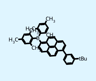 Cc1cc(C)c(B(c2c(C)cc(C)cc2C)c2ccc3ccc4c(-c5cccc(C(C)(C)C)c5)ccc5ccc2c3c54)c(C)c1